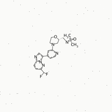 CS(C)(=O)=NC[C@@H]1CN(c2cc(-c3cnc4ccc(C(F)F)nn34)ccn2)CCO1